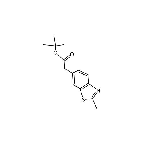 Cc1nc2ccc(CC(=O)OC(C)(C)C)cc2s1